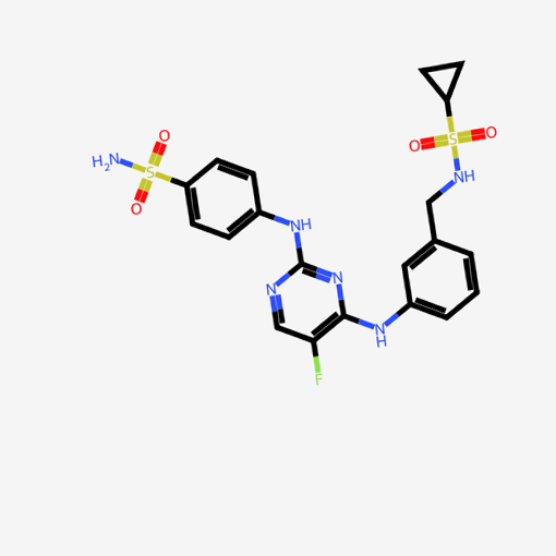 NS(=O)(=O)c1ccc(Nc2ncc(F)c(Nc3cccc(CNS(=O)(=O)C4CC4)c3)n2)cc1